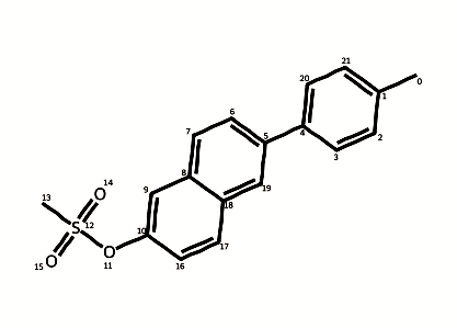 Cc1ccc(-c2ccc3cc(OS(C)(=O)=O)ccc3c2)cc1